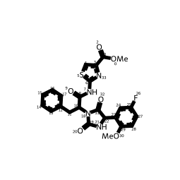 COC(=O)c1csc(NC(=O)C(Cc2ccccc2)N2C(=O)NC(c3cc(F)ccc3OC)C2=O)n1